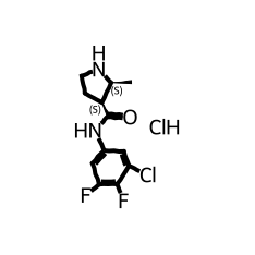 C[C@@H]1NCC[C@@H]1C(=O)Nc1cc(F)c(F)c(Cl)c1.Cl